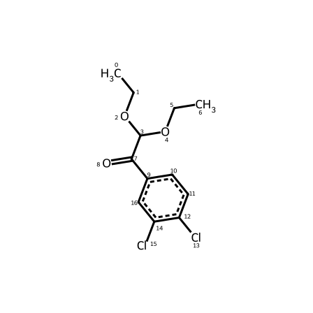 CCOC(OCC)C(=O)c1ccc(Cl)c(Cl)c1